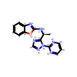 C[C@H](Nc1nc2ccccc2o1)c1ncnn1-c1ncccn1